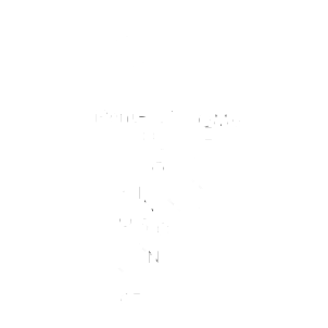 [2H]N(c1cccc([C@H](C2=C(OC)C(C)(C)[C@@](C(C)CCC)(C(C)Cc3ccc(C)c(C)c3)OC2=O)C(C)(C)CC)c1)S(=O)(=O)c1ccc(C(F)(F)F)cn1